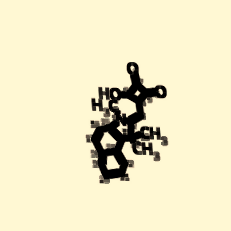 CN1C(=CC2C(=O)C(=O)C2O)C(C)(C)c2c1ccc1ccccc21